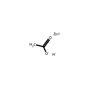 CC(=O)[O-].[H-].[Zn+2]